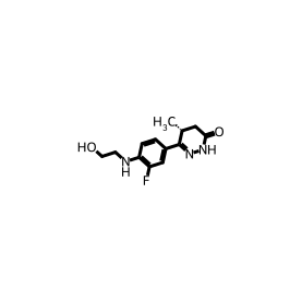 C[C@@H]1CC(=O)NN=C1c1ccc(NCCO)c(F)c1